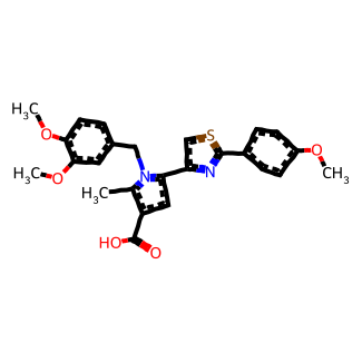 COc1ccc(-c2nc(-c3cc(C(=O)O)c(C)n3Cc3ccc(OC)c(OC)c3)cs2)cc1